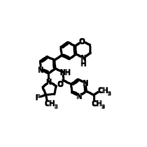 CC(C)c1ncc(C(=O)Nc2c(-c3ccc4c(c3)NCCO4)ccnc2N2CCC(C)(F)C2)cn1